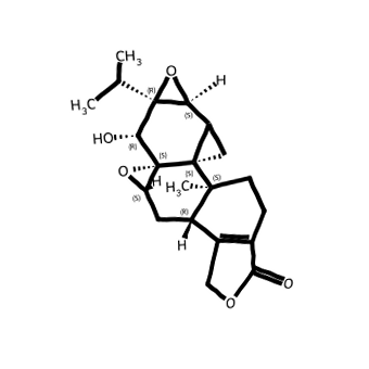 CC(C)[C@]12O[C@H]1C1C[C@]13[C@]1(O[C@H]1C[C@H]1C4=C(CC[C@@]13C)C(=O)OC4)[C@@H]2O